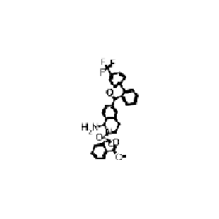 COC(=O)c1ccccc1S(=O)(=O)N1CCc2cc(C(=O)c3ccccc3-c3ccc(C(F)(F)F)cc3)ccc2C1N